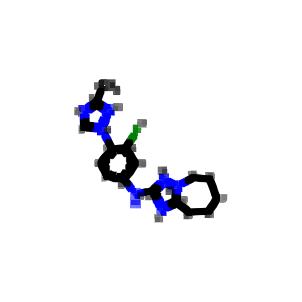 Cc1ncn(-c2ccc(Nc3nc4n(n3)CCCCC4)cc2F)n1